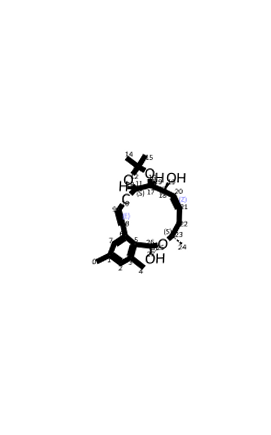 Cc1cc(C)c2c(c1)/C=C/C[C@@H]1OC(C)(C)O[C@@H]1[C@@H](O)/C=C\C[C@H](C)O[C@@H]2O